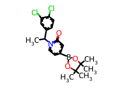 CC(c1ccc(Cl)c(Cl)c1)n1ccc(B2OC(C)(C)C(C)(C)O2)cc1=O